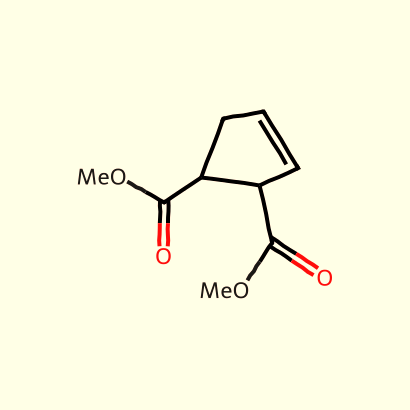 COC(=O)C1C=CCC1C(=O)OC